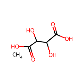 C.O=C(O)C(O)C(O)C(=O)O